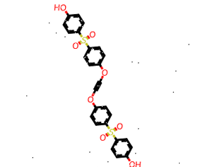 O=S(=O)(c1ccc(O)cc1)c1ccc(OC#COc2ccc(S(=O)(=O)c3ccc(O)cc3)cc2)cc1